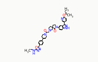 CCNc1nnc(-c2ccc(C3=CCN(C(=O)CN4CCC5(CCN(c6ccc7[nH]nc(-c8ccc(OC(C)C)nc8)c7c6)C5=O)C4)CC3)cc2)o1